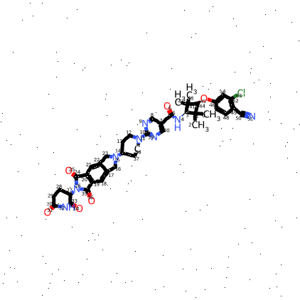 CC1(C)[C@H](NC(=O)c2cnc(N3CCC(N4Cc5cc6c(cc5C4)C(=O)N(C4CCC(=O)NC4=O)C6=O)CC3)nc2)C(C)(C)[C@H]1Oc1ccc(C#N)c(Cl)c1